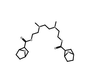 CN(CCOC(=O)C1CC2CCC1O2)CCN(C)CCOC(=O)C1CC2CCC1O2